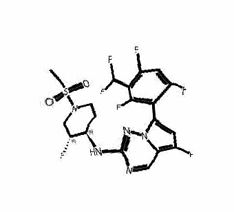 CS(=O)(=O)N1CC[C@@H](Nc2ncc3c(F)cc(-c4c(F)cc(F)c(C(F)F)c4F)n3n2)[C@H](F)C1